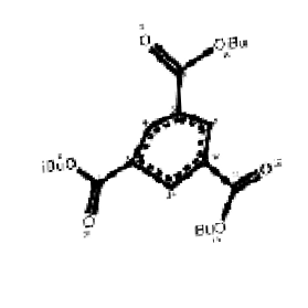 CC(C)COC(=O)c1cc(C(=O)OCC(C)C)cc(C(=O)OCC(C)C)c1